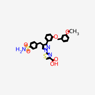 COc1cccc(COc2cccc(-c3nn(-c4nc(C(=O)O)cs4)cc3Cc3ccc(S(N)(=O)=O)cc3)c2)c1